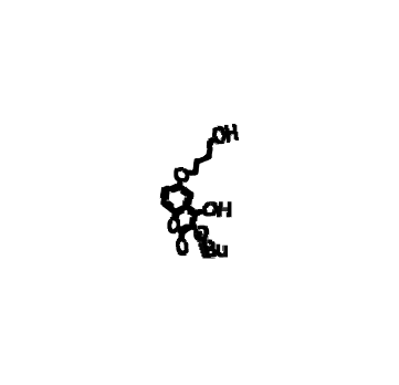 CCC(C)Oc1c(O)c2cc(OCCCCO)ccc2oc1=O